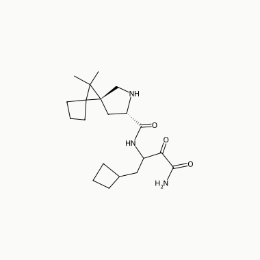 CC1(C)C2(CCC2)[C@]12CN[C@H](C(=O)NC(CC1CCC1)C(=O)C(N)=O)C2